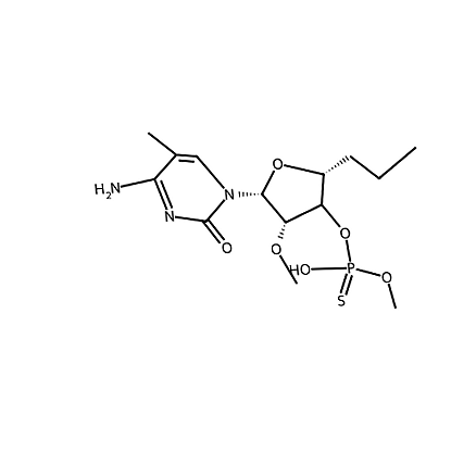 CCC[C@H]1O[C@@H](n2cc(C)c(N)nc2=O)[C@@H](OC)C1OP(O)(=S)OC